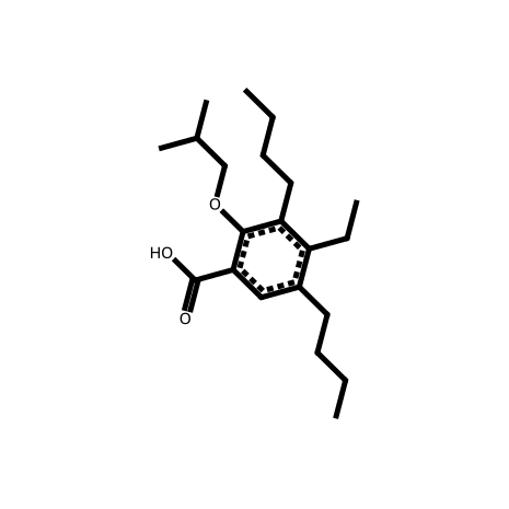 CCCCc1cc(C(=O)O)c(OCC(C)C)c(CCCC)c1CC